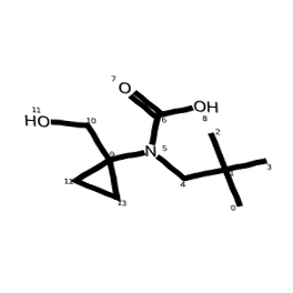 CC(C)(C)CN(C(=O)O)C1(CO)CC1